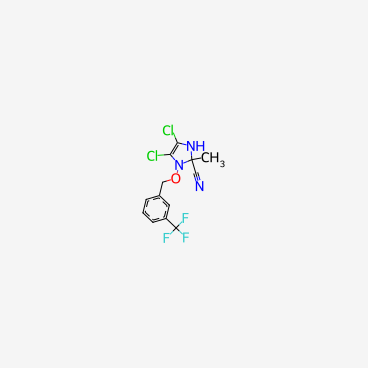 CC1(C#N)NC(Cl)=C(Cl)N1OCc1cccc(C(F)(F)F)c1